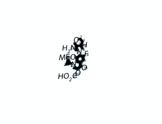 COc1c(N2C[C@@H]3CCOC[C@@]3(N)C2)c(F)cc2c(=O)c(OC(=O)O)cn([C@@H]3C[C@@H]3F)c12